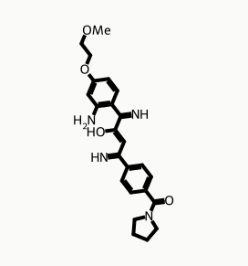 COCCOc1ccc(C(=N)/C(O)=C/C(=N)c2ccc(C(=O)N3CCCC3)cc2)c(N)c1